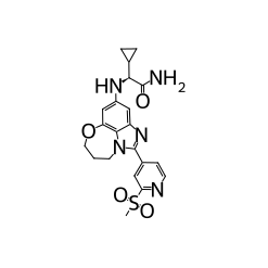 CS(=O)(=O)c1cc(-c2nc3cc(N[C@H](C(N)=O)C4CC4)cc4c3n2CCCO4)ccn1